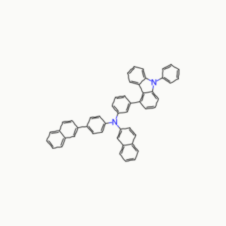 c1ccc(-n2c3ccccc3c3c(-c4cccc(N(c5ccc(-c6ccc7ccccc7c6)cc5)c5ccc6ccccc6c5)c4)cccc32)cc1